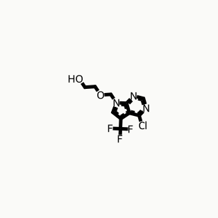 OCCOCn1cc(C(F)(F)F)c2c(Cl)ncnc21